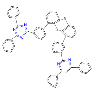 c1ccc(-c2cc(-c3ccccc3)nc(-c3cccc(-c4cccc5c4Sc4c(cccc4-c4cccc(-c6nc(-c7ccccc7)nc(-c7ccccc7)n6)c4)S5)c3)n2)cc1